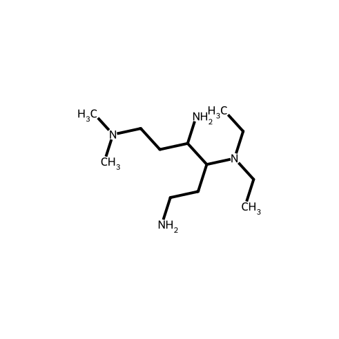 CCN(CC)C(CCN)C(N)CCN(C)C